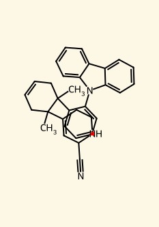 CC1(C2=CC(C#N)NCC2)CC=CCC1(C)c1ccccc1-n1c2ccccc2c2ccccc21